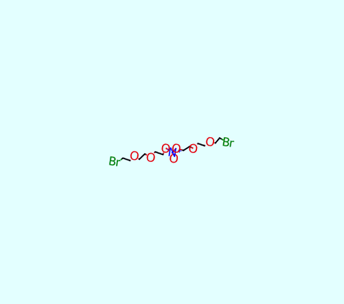 O=[N+](OCCOCCOCCBr)OCCOCCOCCBr